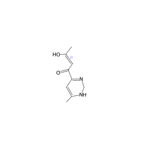 CC1=CC(C(=O)/C=C(/C)O)=NCN1